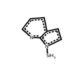 [SiH3]n1ccc2cccnc21